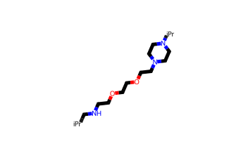 CC(C)CNCCOCCOCCN1CCN(C(C)C)CC1